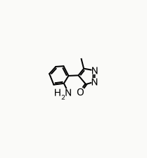 CC1=C(c2ccccc2N)C(=O)N=N1